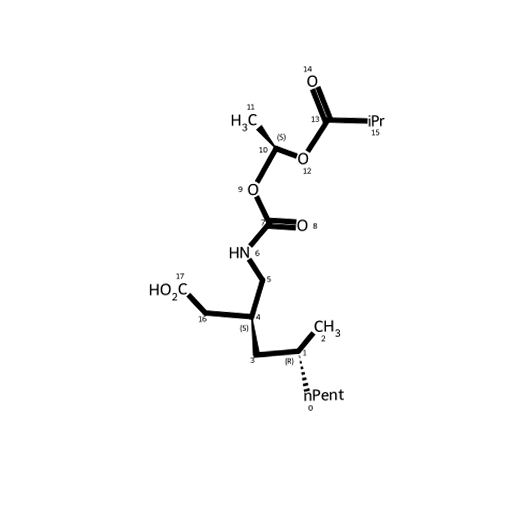 CCCCC[C@@H](C)C[C@H](CNC(=O)O[C@@H](C)OC(=O)C(C)C)CC(=O)O